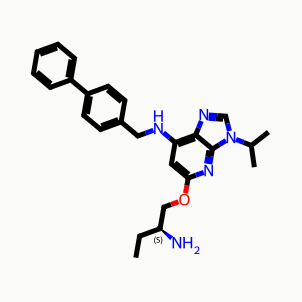 CC[C@H](N)COc1cc(NCc2ccc(-c3ccccc3)cc2)c2ncn(C(C)C)c2n1